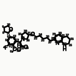 COc1c(F)cc([C@@H]2CCCO2)cc1C(C(=O)O)N1CC[C@@H](OCCCCCc2ccc3c(n2)NCCC3)C1